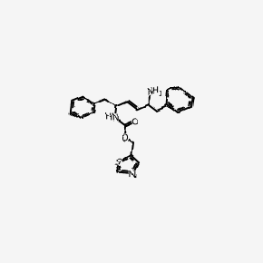 N[C@H](/C=C/[C@H](Cc1ccccc1)NC(=O)OCc1cncs1)Cc1ccccc1